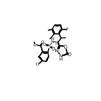 COC(=O)c1cc(Cl)ccc1S(=O)(=O)N[C@H](c1n[nH]c(=O)o1)C(C)c1c(F)ccc(C)c1C